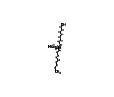 CCCCCCCCC=CCCCCCCCCO.[NaH].[NaH]